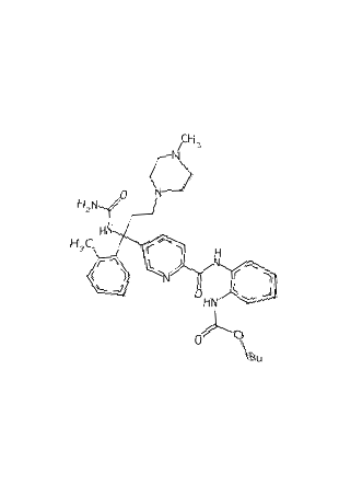 Cc1ccccc1C(CCN1CCN(C)CC1)(NC(N)=O)c1ccc(C(=O)Nc2ccccc2NC(=O)OC(C)(C)C)nc1